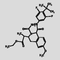 CCOC(=O)C(C)C1Cc2cc(OC)ccc2C(C(=O)Nc2cc(F)c([Si](C)(C)C)c(F)c2)N1C(N)=O